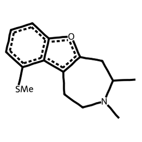 CSc1cccc2oc3c(c12)CCN(C)C(C)C3